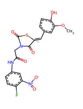 COc1cc(/C=C2\SC(=O)N(CC(=O)Nc3ccc(F)c([N+](=O)[O-])c3)C2=O)ccc1O